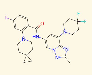 Cc1nc2c(N3CCC(F)(F)CC3)cc(NC(=O)c3ccc(I)cc3N3CCC4(CC3)CC4)cn2n1